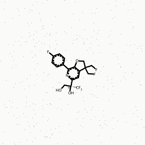 OC[C@](O)(c1cc2c(c(-c3ccc(F)cc3)n1)OCC2(CF)CF)C(F)(F)F